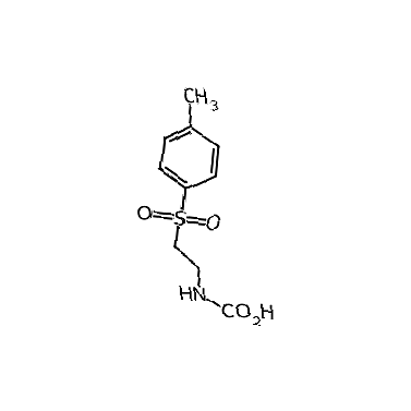 Cc1ccc(S(=O)(=O)CCNC(=O)O)cc1